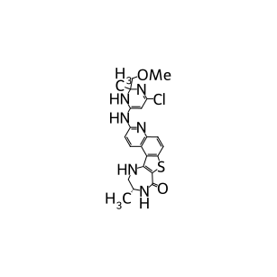 COCC1(C)N=C(Cl)C=C(Nc2ccc3c(ccc4sc5c(c43)NC[C@@H](C)NC5=O)n2)N1